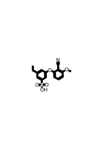 CCc1cc(Oc2cccc(OC)c2C#N)cc(S(=O)(=O)O)c1